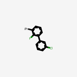 CC(C)c1cccc(-c2cccc(Cl)c2)c1F